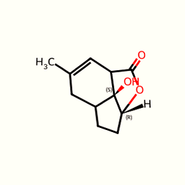 CC1=CC2C(=O)O[C@@H]3CCC(C1)[C@]23O